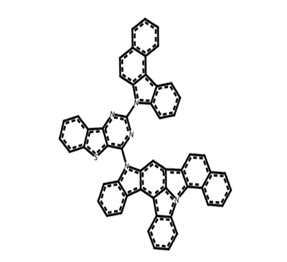 c1ccc2c(c1)ccc1c2c2ccccc2n1-c1nc(-n2c3ccccc3c3c4c5ccccc5n5c6c7ccccc7ccc6c(cc32)c45)c2sc3ccccc3c2n1